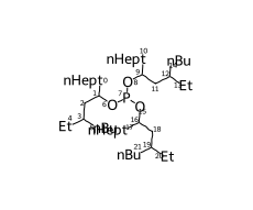 CCCCCCCC(CC(CC)CCCC)OP(OC(CCCCCCC)CC(CC)CCCC)OC(CCCCCCC)CC(CC)CCCC